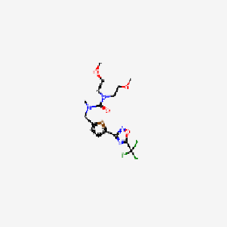 COCCN(CCOC)C(=O)N(C)Cc1ccc(-c2noc(C(F)(F)F)n2)s1